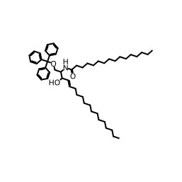 CCCCCCCCCCCCCC=CC(O)C(COC(c1ccccc1)(c1ccccc1)c1ccccc1)NC(=O)CCCCCCCCCCCCCCC